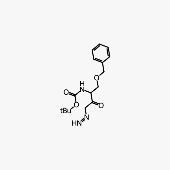 CC(C)(C)OC(=O)NC(COCc1ccccc1)C(=O)CN=N